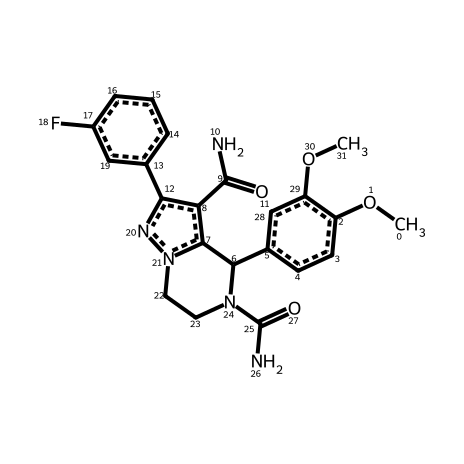 COc1ccc(C2c3c(C(N)=O)c(-c4cccc(F)c4)nn3CCN2C(N)=O)cc1OC